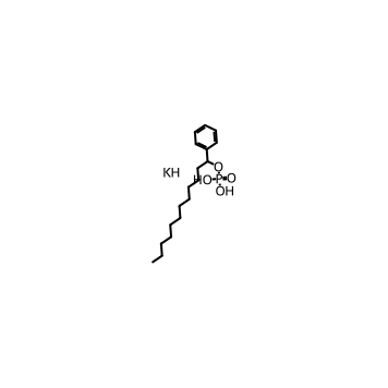 CCCCCCCCCCCC(OP(=O)(O)O)c1ccccc1.[KH]